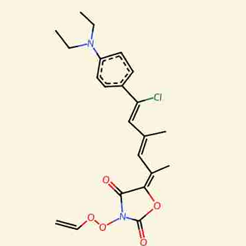 C=COON1C(=O)O/C(=C(C)/C=C(C)/C=C(\Cl)c2ccc(N(CC)CC)cc2)C1=O